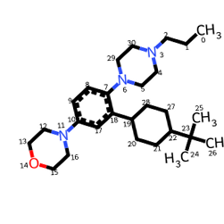 CCCN1CCN(c2ccc(N3CCOCC3)cc2C2CCC(C(C)(C)C)CC2)CC1